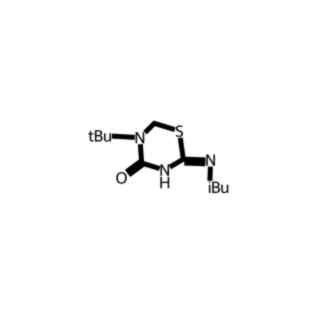 CCC(C)N=C1NC(=O)N(C(C)(C)C)CS1